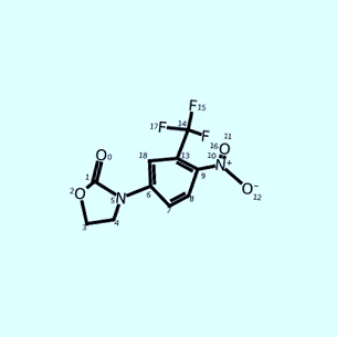 O=C1OCCN1c1ccc([N+](=O)[O-])c(C(F)(F)F)c1